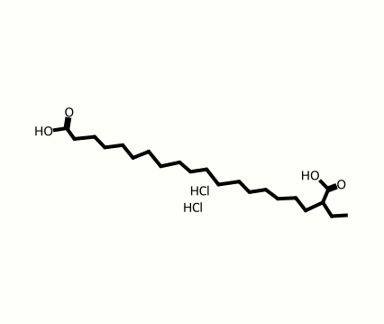 CCC(CCCCCCCCCCCCCCCCCC(=O)O)C(=O)O.Cl.Cl